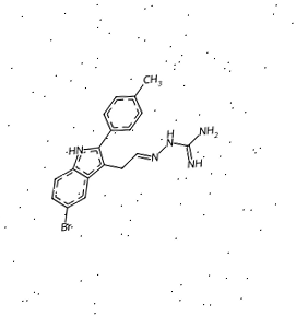 Cc1ccc(-c2[nH]c3ccc(Br)cc3c2CC=NNC(=N)N)cc1